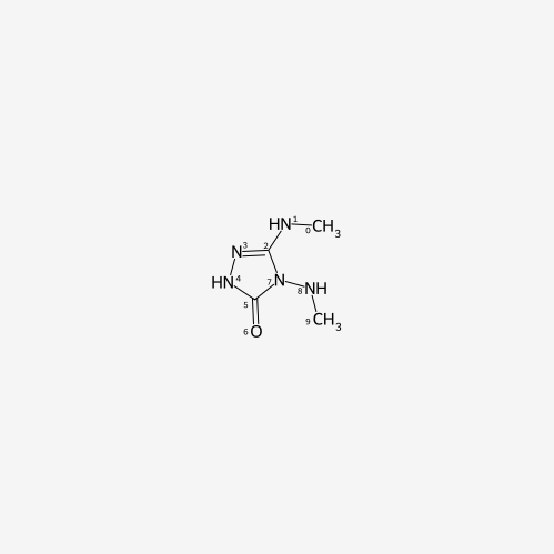 CNc1n[nH]c(=O)n1NC